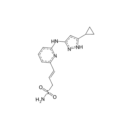 NS(=O)(=O)C/C=C/c1cccc(Nc2cc(C3CC3)[nH]n2)n1